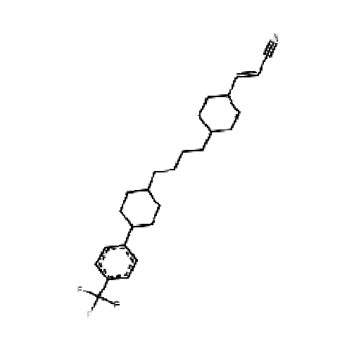 N#CC=CC1CCC(CCCCC2CCC(c3ccc(C(F)(F)F)cc3)CC2)CC1